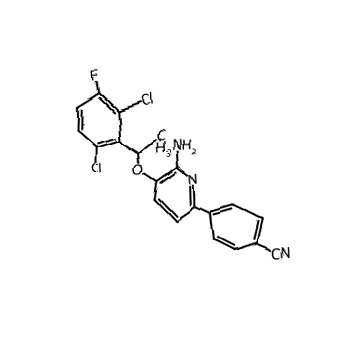 CC(Oc1ccc(-c2ccc(C#N)cc2)nc1N)c1c(Cl)ccc(F)c1Cl